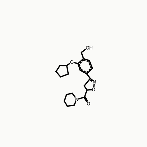 O=C(C1CC(c2ccc(CO)c(OC3CCCC3)c2)=NO1)N1CCCCC1